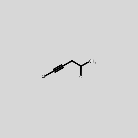 CC([O])CC#CCl